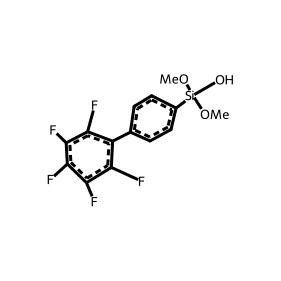 CO[Si](O)(OC)c1ccc(-c2c(F)c(F)c(F)c(F)c2F)cc1